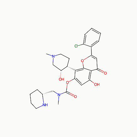 CN1CC[C@H](c2c(OC(=O)N(C)C[C@H]3CCCCN3)cc(O)c3c(=O)cc(-c4ccccc4Cl)oc23)[C@H](O)C1